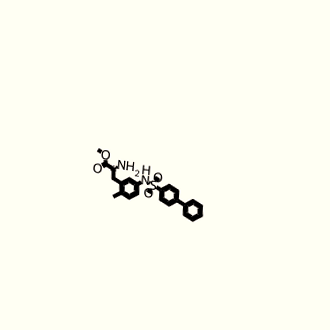 COC(=O)[C@@H](N)Cc1cc(NS(=O)(=O)c2ccc(-c3ccccc3)cc2)ccc1C